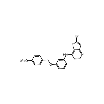 COc1ccc(COc2cccc(Nc3ccnc4cc(Br)sc34)c2)cc1